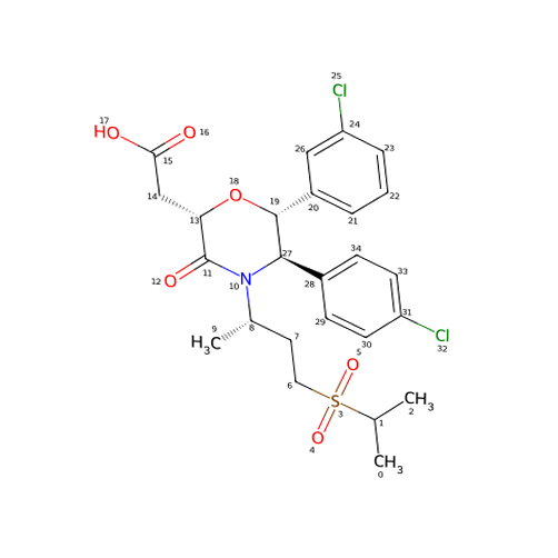 CC(C)S(=O)(=O)CC[C@H](C)N1C(=O)[C@H](CC(=O)O)O[C@H](c2cccc(Cl)c2)[C@H]1c1ccc(Cl)cc1